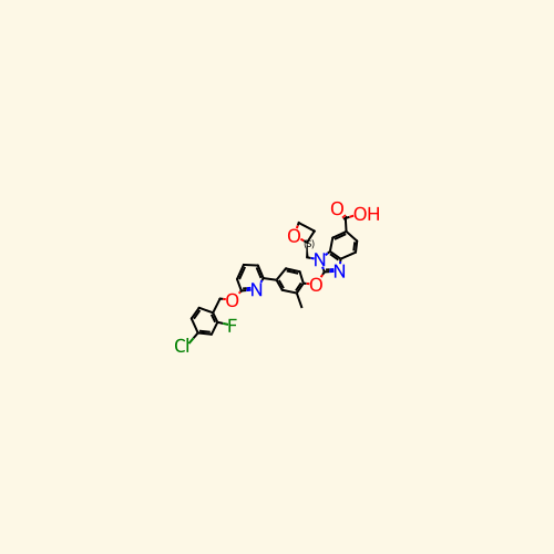 Cc1cc(-c2cccc(OCc3ccc(Cl)cc3F)n2)ccc1Oc1nc2ccc(C(=O)O)cc2n1C[C@@H]1CCO1